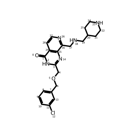 O=c1[nH]c(COCc2cccc(Cl)c2)nc2c(CNCC3CCNCC3)nccc12